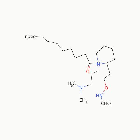 CCCCCCCCCCCCCCCCCC(=O)[N+]1(CCCN(C)C)CCCCC1CCONC=O